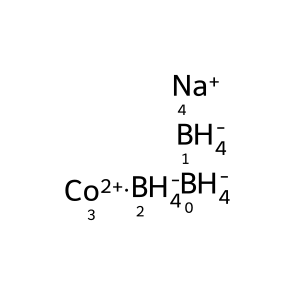 [BH4-].[BH4-].[BH4-].[Co+2].[Na+]